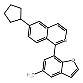 Cc1cc(-c2nccc3cc(C4CCCC4)ccc23)c2occc2c1